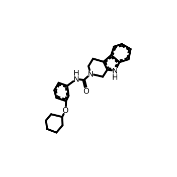 O=C(Nc1cccc(OC2CCCCC2)c1)N1CCc2c([nH]c3ccccc23)C1